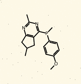 COc1ccc(P(C)c2nc(C)nc3c2CC(C)C3)cc1